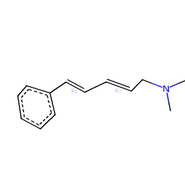 CN(C)C/C=C/C=C/c1ccccc1